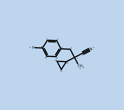 CC(C#N)(Cc1ccc(F)cc1)C1CC1